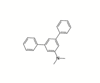 CN(C)c1cc(-c2ccccc2)cc(-c2ccccc2)c1